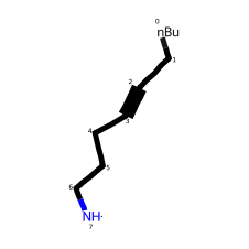 CCCCCC#CCCC[NH]